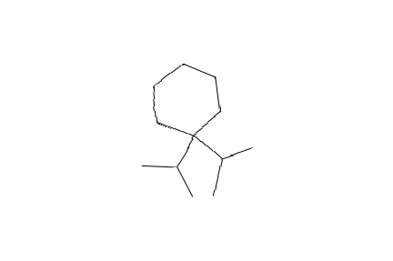 CC(C)C1(C(C)C)CCCCC1